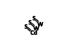 [S]=[Cd].[S]=[W].[S]=[W]